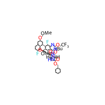 COCOc1cc(-c2c(C(=O)OC)cc3c(N4C[C@H]5CC[C@@H](C4)N5C(=O)OC(C)(C)C)nc(OCC(F)(F)F)nc3c2F)c2c(C#CC#CCNC(=O)OCc3ccccc3)c(F)ccc2c1